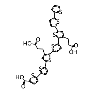 O=C(O)CCc1cc(-c2ccc(-c3cccs3)s2)sc1-c1ccc(-c2sc(-c3ccc(-c4ccc(C(=O)O)s4)s3)cc2CCC(=O)O)s1